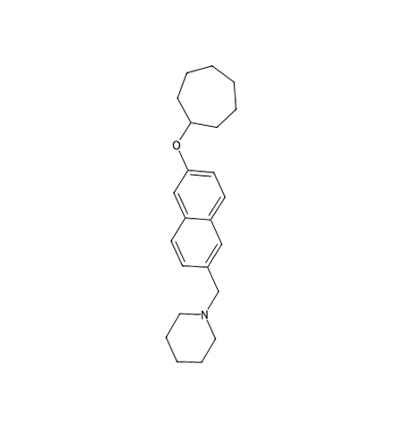 c1cc2cc(OC3CCCCCC3)ccc2cc1CN1CCCCC1